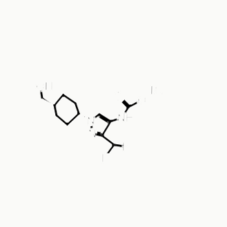 CC(C)(C)OC(=O)Nc1cn([C@H]2CC[C@H](CO)CC2)nc1C(F)F